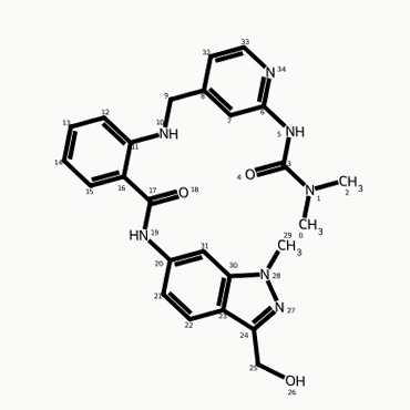 CN(C)C(=O)Nc1cc(CNc2ccccc2C(=O)Nc2ccc3c(CO)nn(C)c3c2)ccn1